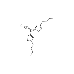 [CH2]=[Zr+2]([C]1=CC(CCCC)=CC1)[C]1=CC(CCCC)=CC1.[Cl-].[Cl-]